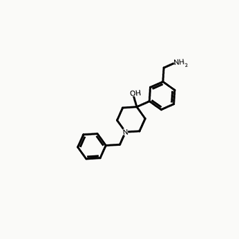 NCc1cccc(C2(O)CCN(Cc3ccccc3)CC2)c1